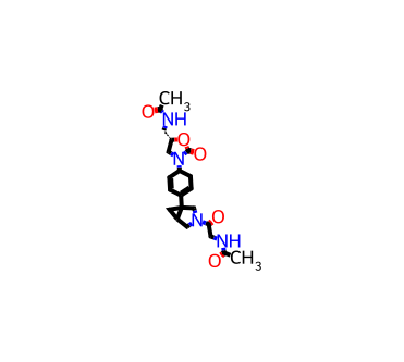 CC(=O)NCC(=O)N1CC2CC2(C2=CCC(N3C[C@H](CNC(C)=O)OC3=O)C=C2)C1